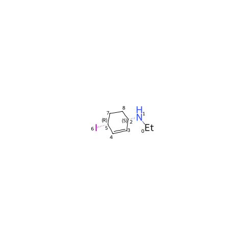 CCN[C@@H]1C=C[C@H](I)CC1